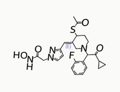 CC(=O)SC1CCN(C(C(=O)C2CC2)c2ccccc2F)C/C1=C\c1ccn(CC(=O)NO)n1